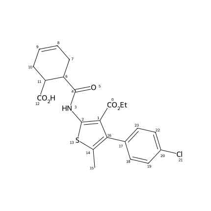 CCOC(=O)c1c(NC(=O)C2CC=CCC2C(=O)O)sc(C)c1-c1ccc(Cl)cc1